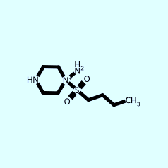 CCCCS(=O)(=O)[N+]1(N)CCNCC1